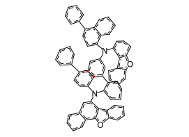 c1ccc(-c2ccc(N(c3ccccc3-c3cccc(N(c4ccc(-c5ccccc5)c5ccccc45)c4cccc5oc6ccccc6c45)c3)c3cc4ccccc4c4oc5ccccc5c34)cc2)cc1